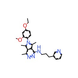 CCOc1ccc(-n2c(C)c3c(C)nnc(NCCCc4cccnc4)c3c2C)c(OC)c1